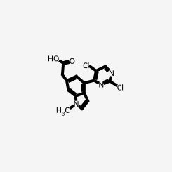 Cn1ccc2c(-c3nc(Cl)ncc3Cl)cc(CC(=O)O)cc21